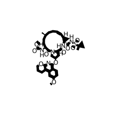 CC[C@@H]1C[C@@H](C)CC/C=C\[C@@H]2C[C@@]2(C(=O)NS(=O)(=O)C2(C)CC2)NC(=O)[C@@H]2C[C@@H](Oc3nc4c(c5cc(OC)ccc35)CCCO4)CN2C(=O)[C@H]1NC(=O)O